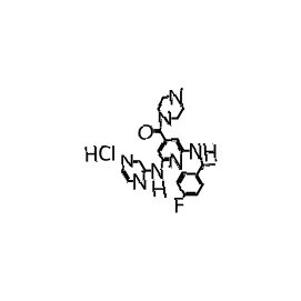 C[C@H](Nc1cc(C(=O)N2CCN(C)CC2)cc(Nc2cnccn2)n1)c1ccc(F)cc1.Cl